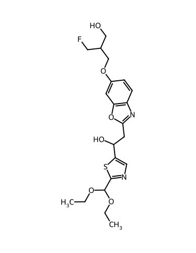 CCOC(OCC)c1ncc(C(O)Cc2nc3ccc(OCC(CO)CF)cc3o2)s1